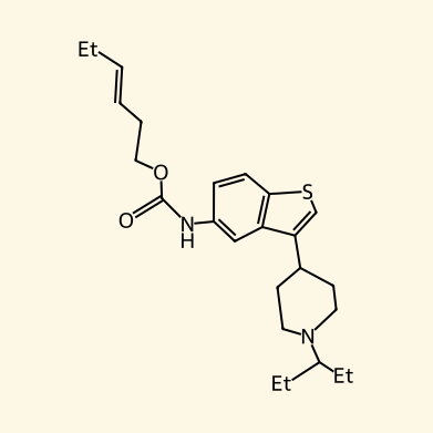 CCC=CCCOC(=O)Nc1ccc2scc(C3CCN(C(CC)CC)CC3)c2c1